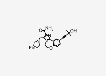 CC(C)(O)C#Cc1ccc2c(c1)-c1nc(C(N)=O)c(CN3CC[C@H](F)C3)n1CCO2